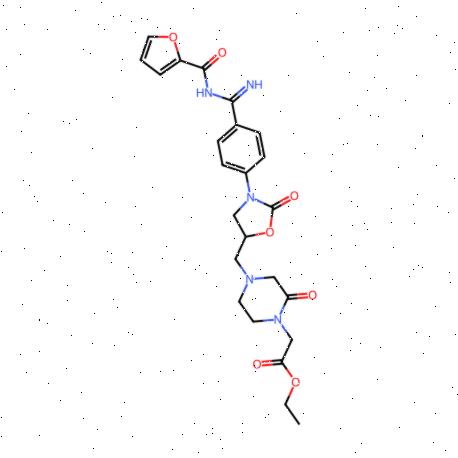 CCOC(=O)CN1CCN(CC2CN(c3ccc(C(=N)NC(=O)c4ccco4)cc3)C(=O)O2)CC1=O